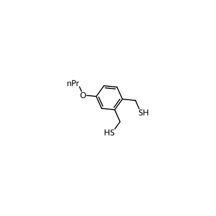 CCCOc1ccc(CS)c(CS)c1